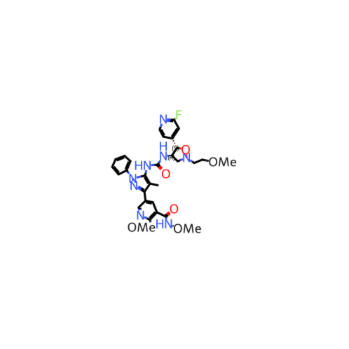 COCCN1C[C@@H](NC(=O)Nc2c(C)c(-c3cnc(OC)c(C(=O)NOC)c3)nn2-c2ccccc2)[C@H](c2ccnc(F)c2)O1